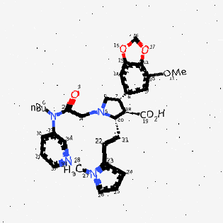 CCCCN(C(=O)CN1C[C@H](c2cc(OC)c3c(c2)OCO3)[C@@H](C(=O)O)[C@@H]1CCc1cccn1C)c1cccnc1